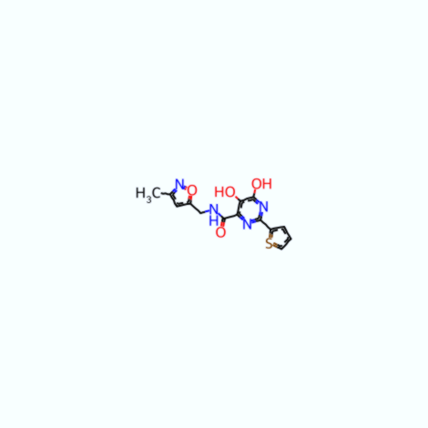 Cc1cc(CNC(=O)c2nc(-c3cccs3)nc(O)c2O)on1